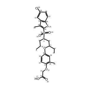 CCCN(CC(CC)Oc1ccc(OCC(=O)O)c(C)c1)S(=O)(=O)c1sc2ccc(Cl)cc2c1C